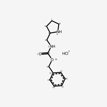 Cl.O=C(NCC1CCCN1)OCc1ccccc1